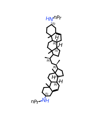 CCCN[C@H]1CCC2(C)C(=CC[C@H]3C2CCC2(C)C([C@H](C)C[C@@H](C)C4CC[C@H]5[C@H]6CC=C7C[C@@H](NCCC)CCC7(C)C6CCC45C)CC[C@@H]32)C1